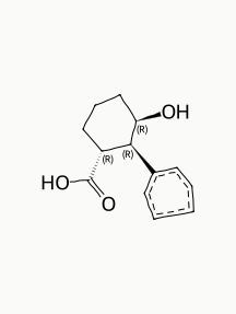 O=C(O)[C@@H]1CCC[C@@H](O)[C@H]1c1ccccc1